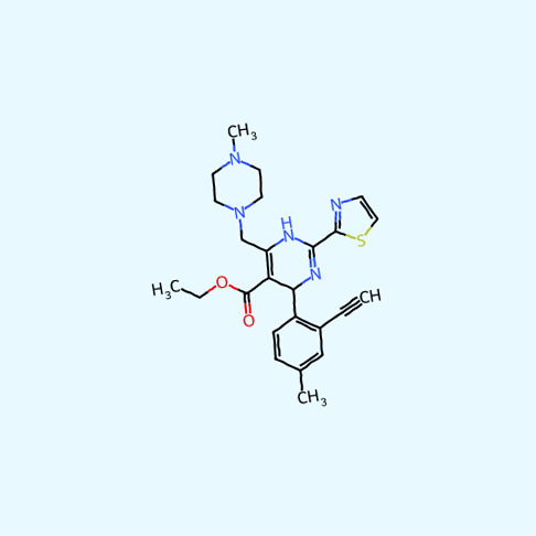 C#Cc1cc(C)ccc1C1N=C(c2nccs2)NC(CN2CCN(C)CC2)=C1C(=O)OCC